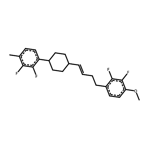 COc1ccc(CC/C=C/C2CCC(c3ccc(C)c(F)c3F)CC2)c(F)c1F